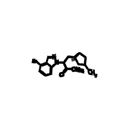 COC(=O)C(C[C@H]1CCC(C)C1)n1ncc2c(Br)cccc21